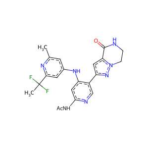 CC(=O)Nc1cc(Nc2cc(C)nc(C(C)(F)F)c2)c(-c2cc3n(n2)CCNC3=O)cn1